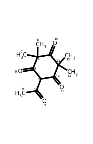 CC(=O)C1C(=O)C(C)(C)C(=O)C(C)(C)C1=O